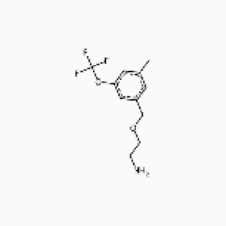 Cc1cc(COCCN)cc(OC(F)(F)F)c1